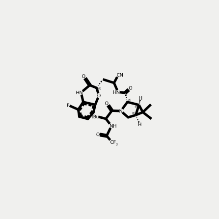 CC(C)(C)C(NC(=O)C(F)(F)F)C(=O)N1C[C@H]2[C@@H]([C@H]1C(=O)NC(C#N)C[C@@H]1Oc3cccc(F)c3NC1=O)C2(C)C